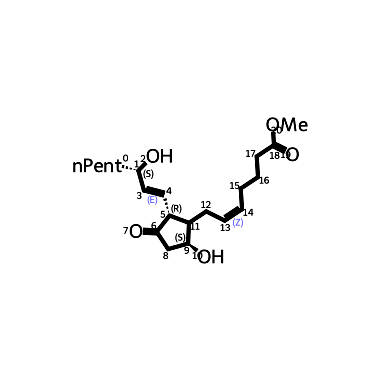 CCCCC[C@H](O)/C=C/[C@H]1C(=O)C[C@H](O)C1C/C=C\CCCC(=O)OC